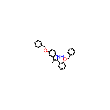 Cc1c(-c2ccccc2OCc2ccccc2)[nH]c2ccc(OCc3ccccc3)cc12